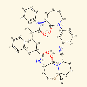 N#C[C@@H]1CCC[C@@H]2SCC[C@H](NC(=O)[C@H](CC[C@H](Cc3ccccc3)C(=O)N[C@H]3CCCCN(c4ccccc4)C3=O)Cc3ccccc3)C(=O)N12